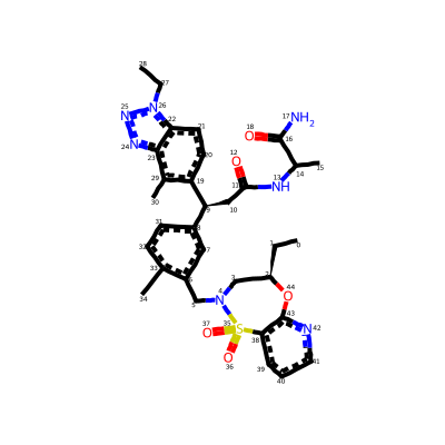 CC[C@@H]1CN(Cc2cc([C@H](CC(=O)NC(C)C(N)=O)c3ccc4c(nnn4CC)c3C)ccc2C)S(=O)(=O)c2cccnc2O1